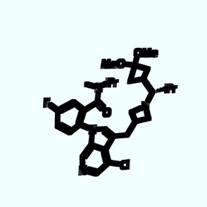 COC1(OC)CC([C@H](C(C)C)N2CC(Cc3cn(-c4ccc(F)cc4C(=O)N(C)C(C)C)c4cncc(Cl)c34)C2)C1